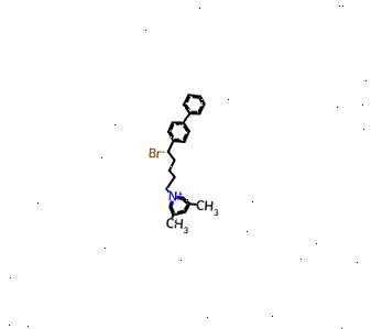 Cc1cc(C)c[n+](CCCCCc2ccc(-c3ccccc3)cc2)c1.[Br-]